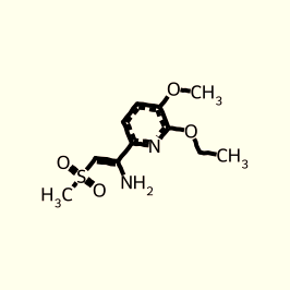 CCOc1nc(C(N)=CS(C)(=O)=O)ccc1OC